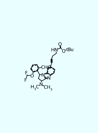 CN(C)C1CC(c2c(C=O)cccc2OC(F)F)n2c1nc1ccc(C#CCCNC(=O)OC(C)(C)C)cc12